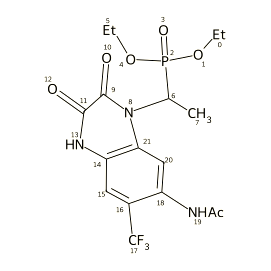 CCOP(=O)(OCC)C(C)n1c(=O)c(=O)[nH]c2cc(C(F)(F)F)c(NC(C)=O)cc21